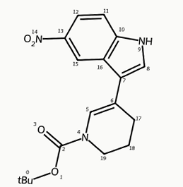 CC(C)(C)OC(=O)N1C=C(c2c[nH]c3ccc([N+](=O)[O-])cc23)CCC1